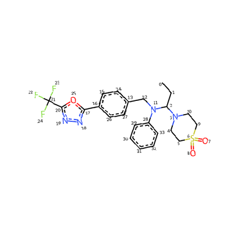 CCC(N1CCS(=O)(=O)CC1)N(Cc1ccc(-c2nnc(C(F)(F)F)o2)cc1)c1ccccc1